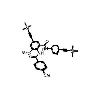 COc1cc(C#C[Si](C)(C)C)cc(C(=O)Nc2ccc(C#C[Si](C)(C)C)cc2)c1NC(=O)c1ccc(C#N)cc1